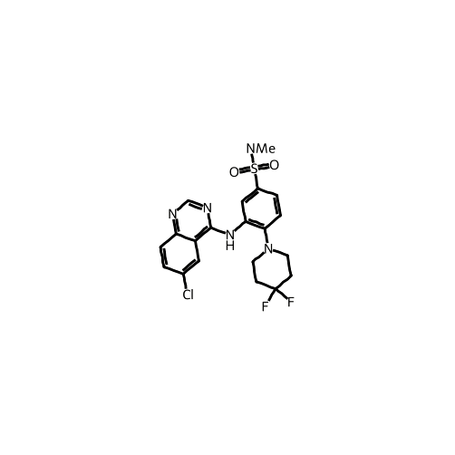 CNS(=O)(=O)c1ccc(N2CCC(F)(F)CC2)c(Nc2ncnc3ccc(Cl)cc23)c1